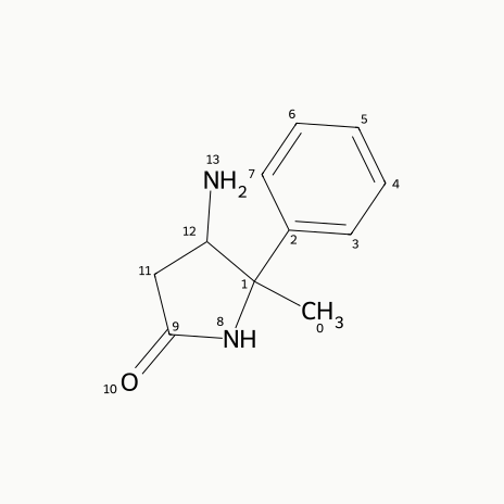 CC1(c2ccccc2)NC(=O)CC1N